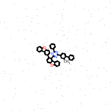 CC1CC(c2nc(-c3ccccc3)nc(-c3c(-c4ccc5oc6ccccc6c5c4)ccc4oc5ccccc5c34)n2)=CC=C1c1ccccc1